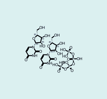 O=P(O)(O)OP(=O)(O)OP(=O)(O)OP(=O)(O)O.O=c1ccn([C@@H]2O[C@H](CO)[C@@H](O)[C@H]2O)c(=O)[nH]1.O=c1ccn([C@@H]2O[C@H](CO)[C@@H](O)[C@H]2O)c(=O)[nH]1